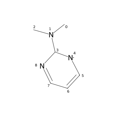 CN(C)C1[N]C=CC=N1